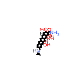 NC(=O)C1=C(O)C[C@@H]2CC3Cc4cc5ccc(CNC6CC6)cc5c(O)c4C(=O)C3=C(O)[C@]2(O)C1=O